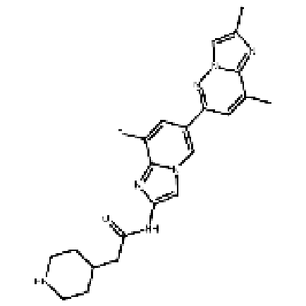 Cc1cn2nc(-c3cc(F)c4nc(NC(=O)CC5CCNCC5)cn4c3)cc(C)c2n1